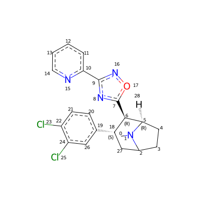 CN1C2CC[C@@H]1[C@H](c1nc(-c3ccccn3)no1)[C@@H](c1ccc(Cl)c(Cl)c1)C2